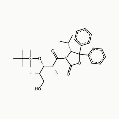 CC(C)[C@H]1N(C(=O)[C@H](C)[C@@H](O[Si](C)(C)C(C)(C)C)[C@@H](C)CO)C(=O)OC1(c1ccccc1)c1ccccc1